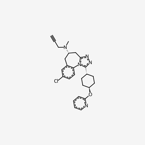 C#CCN(C)[C@H]1Cc2cc(Cl)ccc2-n2c(nnc2[C@H]2CC[C@H](Oc3ccccn3)CC2)C1